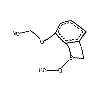 N#CCOc1cccc2c1B(OO)C2